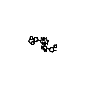 Cc1ccc(-c2cc(NC[C@H](N)c3ccc4c(c3)OCCCO4)ncn2)cc1Cl